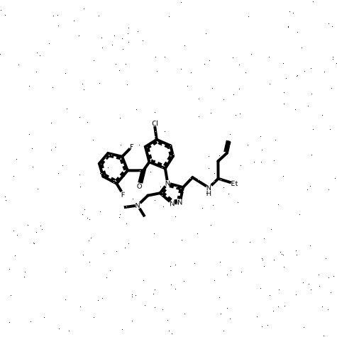 C=CCC(CC)NCc1nnc(CN(C)C)n1-c1ccc(Cl)cc1C(=O)c1c(F)cccc1F